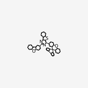 c1ccc2c(c1)Oc1ccc(-c3nc(-c4ccc5oc6ccccc6c5c4)nc4c3sc3ccccc34)cc1C21c2ccccc2-c2ccccc21